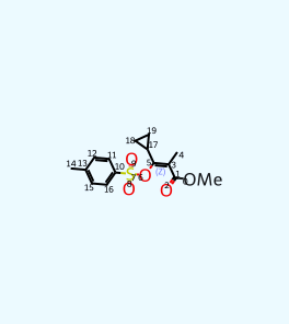 COC(=O)/C(C)=C(\OS(=O)(=O)c1ccc(C)cc1)C1CC1